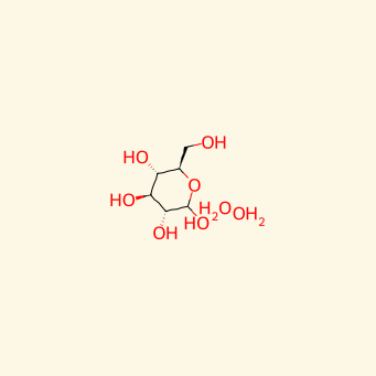 O.O.OC[C@H]1OC(O)[C@H](O)[C@@H](O)[C@@H]1O